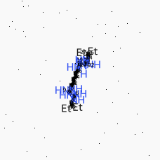 CCC(CC)CNC(=N)NC(=N)NCCCCCCNC(=N)NC(=N)NCC(CC)CC